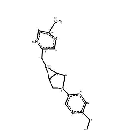 CCc1ccc(N2CC3C(C2)N3Cc2cnc(OC)cn2)nc1